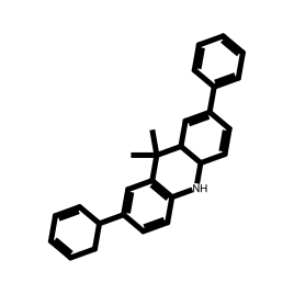 CC1(C)c2cc(C3C=CC=CC3)ccc2NC2C=CC(c3ccccc3)=CC21